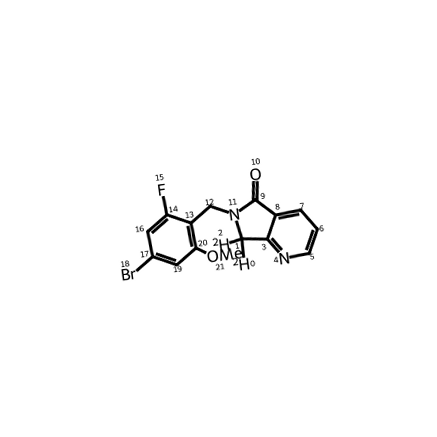 [2H]C1([2H])c2ncccc2C(=O)N1Cc1c(F)cc(Br)cc1OC